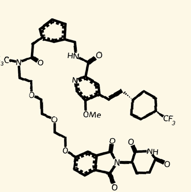 COc1cnc(C(=O)NCc2cccc(CC(=O)N(C)CCOCCOCCOc3ccc4c(c3)C(=O)N(C3CCC(=O)NC3=O)C4=O)c2)cc1/C=C/[C@H]1CC[C@H](C(F)(F)F)CC1